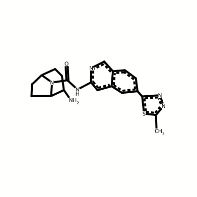 Cc1nnc(-c2ccc3cnc(NC(=O)N4C5CCC(N)C4CC5)cc3c2)s1